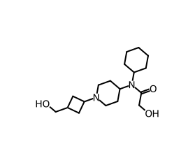 O=C(CO)N(C1CCCCC1)C1CCN(C2CC(CO)C2)CC1